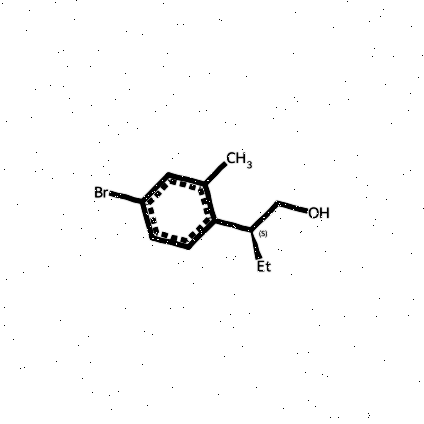 CC[C@H](CO)c1ccc(Br)cc1C